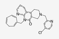 O=c1c2c(c3cccnc3n1CC1=CCC=CC=C1)CCN(Cc1cc(Cl)ccn1)C2